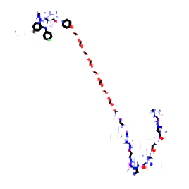 COc1ccc2c(c1)C(c1ccc(Cl)cc1)=N[C@H](CC(=O)Nc1ccc(OCCOCCOCCOCCOCCOCCOCCOCCOCCNC(=O)CCNC(=O)c3nc(NC(=O)CCNC(=O)c4c(NC(=O)c5nc(NC(=O)CCNC(=O)c6cc(NC(=O)c7nccn7C)cn6C)cn5C)ccn4C)cn3C)cc1)C(=N)N2C(C)=N